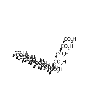 CC(=O)O.CC(=O)O.CC(=O)O.CC(=O)O.CC(=O)O.CC(=O)O.CC(=O)O.CC(=O)O.CC(=O)O.CC(=O)O.CC(=O)O.CC(=O)O.CC(=O)O.CC(=O)O.CC(=O)O.CC(=O)O.CC(=O)O